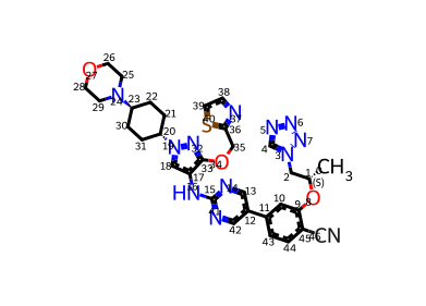 C[C@@H](Cn1cnnn1)Oc1cc(-c2cnc(Nc3cn([C@H]4CC[C@H](N5CCOCC5)CC4)nc3OCc3nccs3)nc2)ccc1C#N